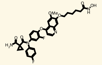 COc1cc2c(Oc3ccc(N(C(=O)C4(C(N)=O)CC4)c4ccc(F)cc4)cc3F)ccnc2cc1OCCCCCC(=O)NO